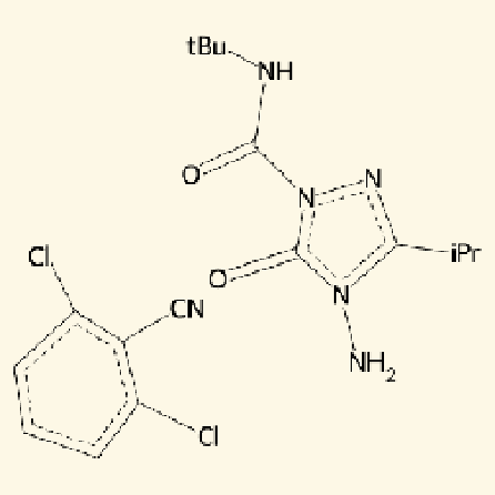 CC(C)c1nn(C(=O)NC(C)(C)C)c(=O)n1N.N#Cc1c(Cl)cccc1Cl